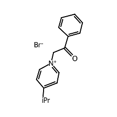 CC(C)c1cc[n+](CC(=O)c2ccccc2)cc1.[Br-]